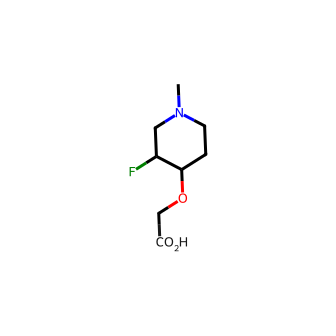 CN1CCC(OCC(=O)O)C(F)C1